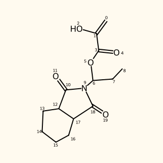 C=C(O)C(=O)OC(CC)N1C(=O)C2CCCCC2C1=O